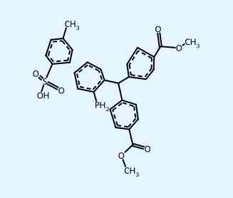 COC(=O)c1ccc(C(c2ccc(C(=O)OC)cc2)c2ccccc2P)cc1.Cc1ccc(S(=O)(=O)O)cc1